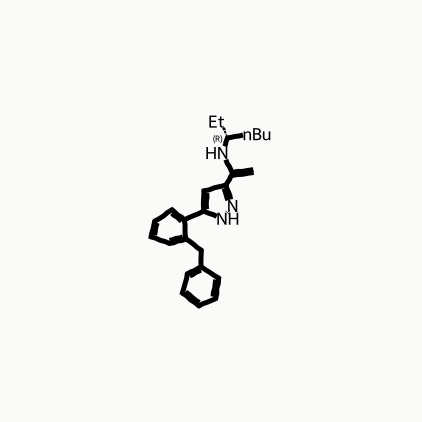 C=C(N[C@H](CC)CCCC)c1cc(-c2ccccc2Cc2ccccc2)[nH]n1